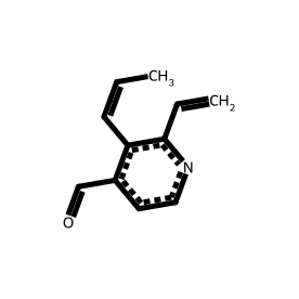 C=Cc1nccc(C=O)c1/C=C\C